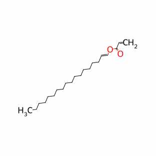 C=CC(=O)O/C=C/CCCCCCCCCCCCCCCC